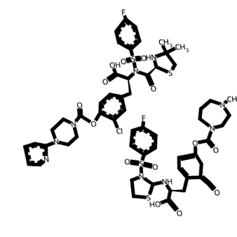 CC1(C)CS[C@@H](C(=O)N([C@@H](Cc2ccc(OC(=O)N3CCN(c4ccccn4)CC3)c(Cl)c2)C(=O)O)S(=O)(=O)c2ccc(F)cc2)N1.CN1CCCN(C(=O)OC2=CC=C(C[C@H](NC3SCCN3S(=O)(=O)c3ccc(F)cc3)C(=O)O)C(=C=O)C2)CC1